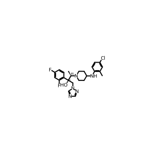 Cc1cc(Cl)ccc1NC1CCN([C@H](C)[C@](O)(Cn2cncn2)c2ccc(F)cc2F)CC1